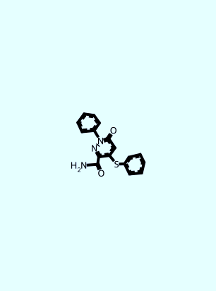 NC(=O)c1nn(-c2ccccc2)c(=O)cc1Sc1ccccc1